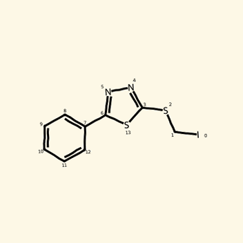 ICSc1nnc(-c2ccccc2)s1